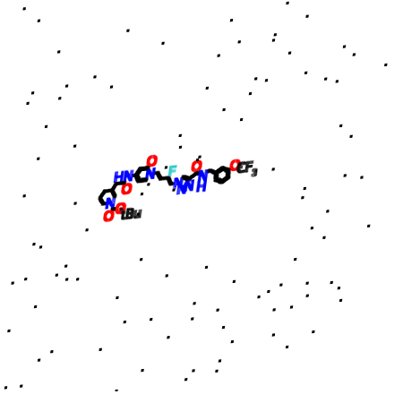 CC(C)(C)OC(=O)N1CCCC(CC(=O)Nc2ccn(CCC(F)Cn3cc(C(=O)NCc4cccc(OC(F)(F)F)c4)nn3)c(=O)c2)C1